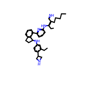 CCCCC/C(C=N)=C(\CC)Nc1cccc(-c2cccc3c2C(Nc2ccc(C4CNC4)c(CC)c2)CC3)n1